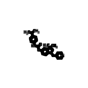 CC(C)c1ccc(NC(=O)Oc2ccc3c(c2)C(C)(C)CN3Cc2ccncc2)cc1